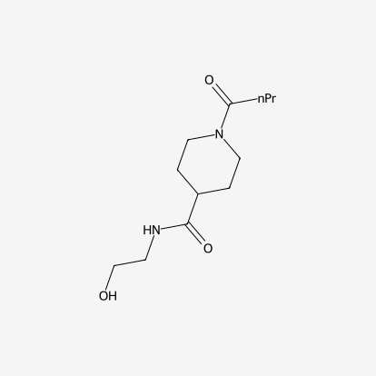 [CH2]CCC(=O)N1CCC(C(=O)NCCO)CC1